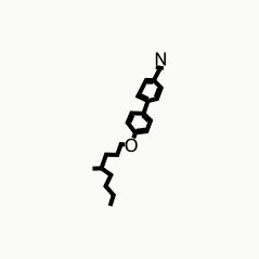 CCCCC(C)CCCOc1ccc(-c2ccc(C#N)cc2)cc1